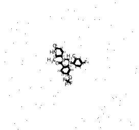 Cc1cc(F)ccc1N1CN(c2ccc(=O)[nH]c2C)C(=O)c2ccc(OC(F)(F)F)cc21